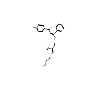 COc1ccc(-c2cc(COCc3cn(CCCO)nn3)c3ccccc3n2)cc1